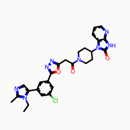 CCn1c(-c2cc(Cl)cc(-c3nnc(CC(=O)N4CCC(n5c(=O)[nH]c6ncccc65)CC4)o3)c2)cnc1C